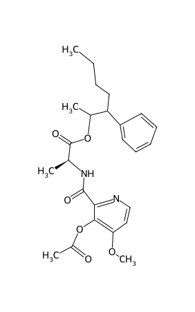 CCCCC(c1ccccc1)C(C)OC(=O)[C@H](C)NC(=O)c1nccc(OC)c1OC(C)=O